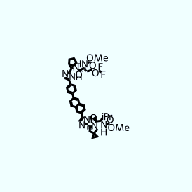 COC(=O)NC(C(=O)N1CC2(CC2)C[C@H]1c1ncc(-c2ccc3cc(-c4ccc(-c5cnc(C6C7CCC(C7)N6C(=O)[C@H](CCOC(F)F)NC(=O)OC)[nH]5)cc4)ccc3c2)[nH]1)C(C)C